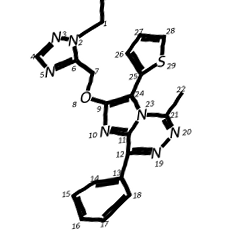 CCn1ncnc1COc1nc2c(-c3ccccc3)nnc(C)n2c1-c1cccs1